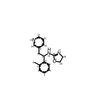 Cc1ccccc1C(Cc1cccnc1)NC1=NCCO1